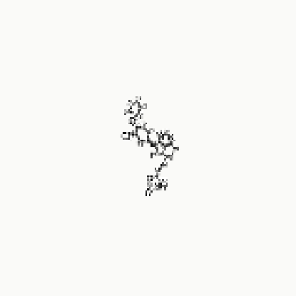 O=C1COC(C#Cc2ccc3ncnc(Nc4ccc(Oc5ccccc5)c(Cl)c4)c3c2)CN1